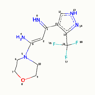 N=C(/C=C(\N)N1CCOCC1)c1c[nH]nc1C(F)(F)F